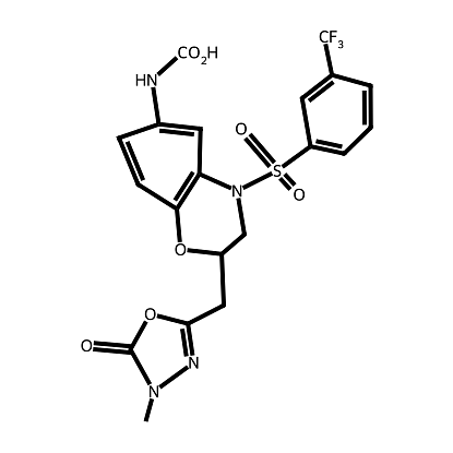 Cn1nc(CC2CN(S(=O)(=O)c3cccc(C(F)(F)F)c3)c3cc(NC(=O)O)ccc3O2)oc1=O